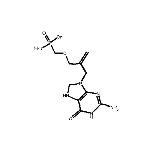 C=C(COCP(=O)(O)O)CN1CNc2c1nc(N)[nH]c2=O